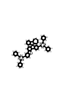 C1=CCC=C2C(=C1)C1(c3ccccc32)c2cc(-c3nc(-c4ccccc4)nc(-c4ccccc4)n3)ccc2-c2c1ccc1c2oc2ccc(-c3nc(-c4ccccc4)nc(-c4ccccc4)n3)cc21